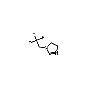 FC(F)(F)CN1[C]=NC[CH]1